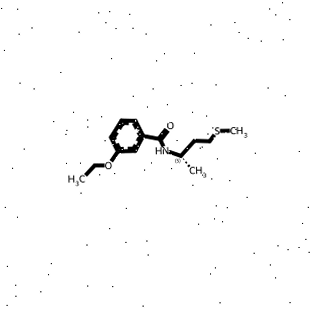 CCOc1cccc(C(=O)N[C@@H](C)CCSC)c1